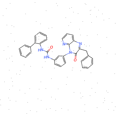 O=C(Nc1cccc(-n2c(=O)c(Cc3ccccc3)nc3cccnc32)c1)Nc1ccccc1-c1ccccc1